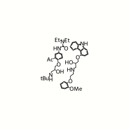 CCN(CC)C(=O)Nc1ccc(OCC(O)CNC(C)(C)C)c(C(C)=O)c1.COc1ccccc1OCCNCC(O)COc1cccc2[nH]c3ccccc3c12